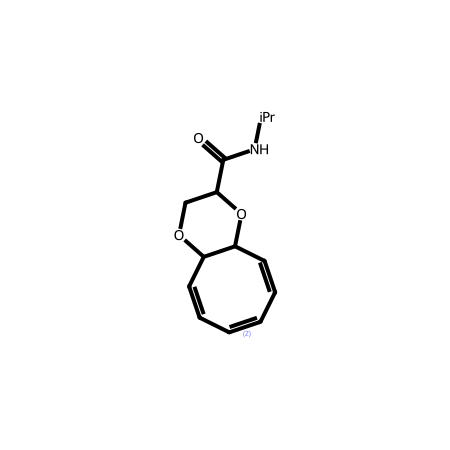 CC(C)NC(=O)C1COC2C=C/C=C\C=CC2O1